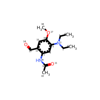 CCN(CC)c1cc(NC(C)=O)c(C=O)cc1OC